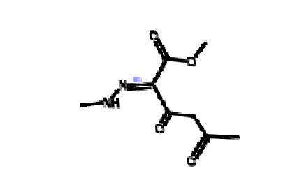 CN/N=C(\C(=O)CC(C)=O)C(=O)OC